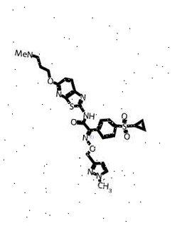 CNCCCOc1ccc2nc(NC(=O)/C(=N/OCc3ccn(C)n3)c3ccc(S(=O)(=O)C4CC4)cc3)sc2n1